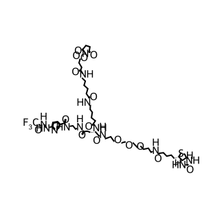 O=C(CCCCCNC(=O)CCC(=O)ON1C(=O)CCC1=O)NCCCCCC(=O)N[C@@H](CCC(=O)NCCNC(=O)c1ccc(NNC(=O)C(F)(F)F)nc1)C(=O)NCCCOCCOCCOCCCNC(=O)CCCC[C@@H]1SC[C@@H]2NC(=O)N[C@@H]21